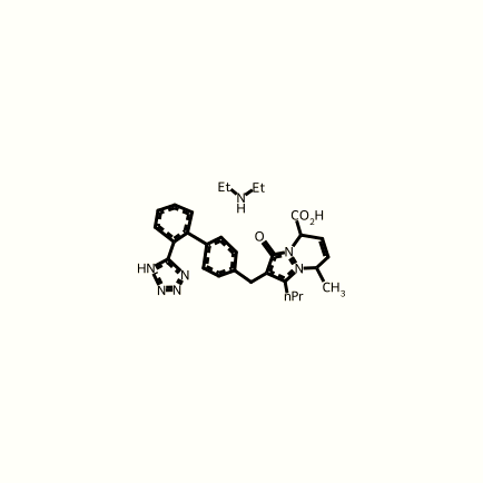 CCCc1c(Cc2ccc(-c3ccccc3-c3nnn[nH]3)cc2)c(=O)n2n1C(C)C=CC2C(=O)O.CCNCC